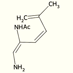 C=C(C)/C=C\C(=C/N)NC(C)=O